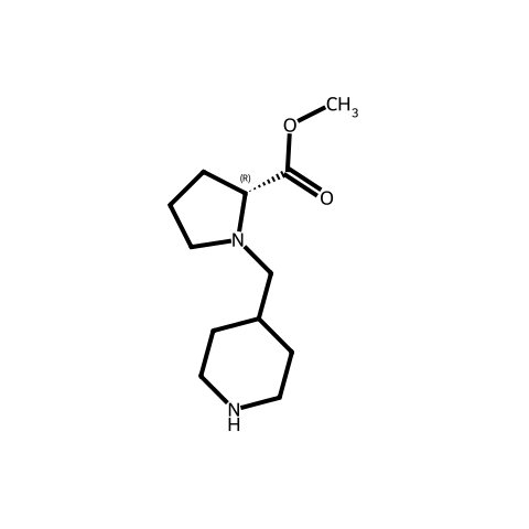 COC(=O)[C@H]1CCCN1CC1CCNCC1